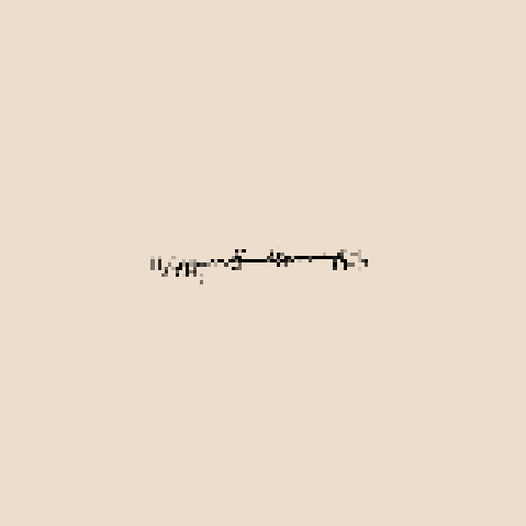 CC(C)CCCCCCCCCCCOC(=O)CCCCCCCC(=O)OCCCCCCCCCCCC(C)C